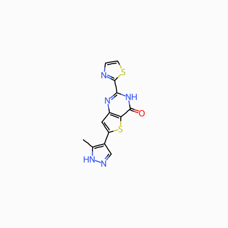 Cc1[nH]ncc1-c1cc2nc(-c3nccs3)[nH]c(=O)c2s1